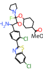 COC(=O)C1CCC(OC(F)(C(=O)C(N)c2ccc(-c3nc4ccc(Cl)cc4s3)c(Cl)c2)N2CCCC2)CC1